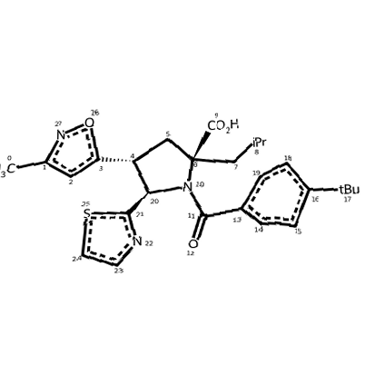 Cc1cc([C@@H]2C[C@@](CC(C)C)(C(=O)O)N(C(=O)c3ccc(C(C)(C)C)cc3)[C@H]2c2nccs2)on1